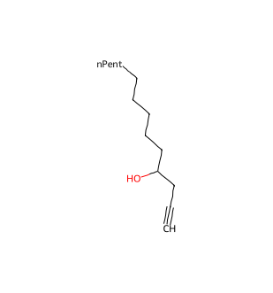 C#CCC(O)CCCCCCCCCC